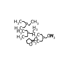 CCP(CC)CC.CCP(CC)CC.CCP(CC)CC.ClC1CCCO1.[W]